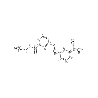 CCCNc1cccc(COc2cccc(C(=O)O)c2)c1